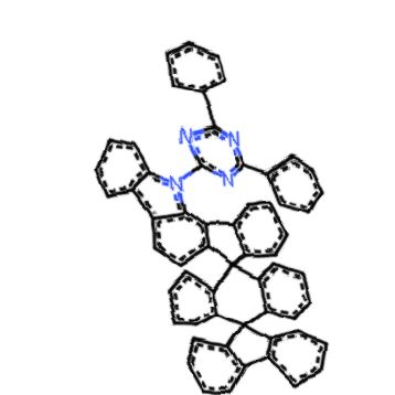 c1ccc(-c2nc(-c3ccccc3)nc(-n3c4ccccc4c4ccc5c(c43)-c3ccccc3C53c4ccccc4C4(c5ccccc5-c5ccccc54)c4ccccc43)n2)cc1